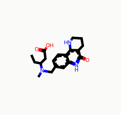 CCC(CC(=O)O)N(C)Cc1ccc2c3c(c(=O)[nH]c2c1)CCCN3